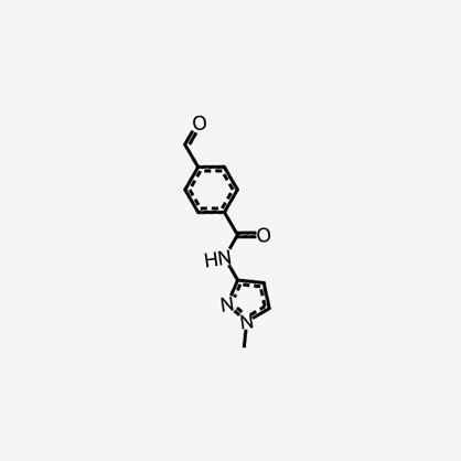 Cn1ccc(NC(=O)c2ccc(C=O)cc2)n1